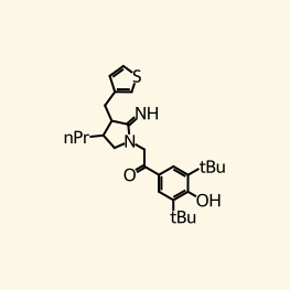 CCCC1CN(CC(=O)c2cc(C(C)(C)C)c(O)c(C(C)(C)C)c2)C(=N)C1Cc1ccsc1